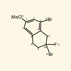 COc1cc(Br)c2c(c1)CCC(F)(Br)C2